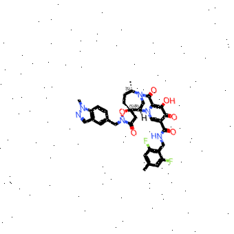 Cc1cc(F)c(CNC(=O)c2cn3c(c(O)c2=O)C(=O)N2C[C@@H]3[C@]3(CC[C@@H]2C)CC(=O)N(Cc2ccc4c(cnn4C)c2)O3)c(F)c1